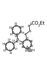 Br.CCOC(=O)CCCc1ccccc1P(c1ccccc1)c1ccccc1